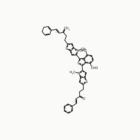 C=C(/C=C/C1=CCCC=C1)CCc1cc2c(cc(-c3sc(-c4cc5sc(CCC(=O)/C=C/c6ccccc6)cc5n4C)c4c(C=O)ccc(C=O)c34)n2C)s1